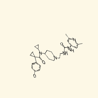 Cc1cc(NC(=O)NCCN2CCC(N(C(=O)C3(c4ccc(Cl)cc4)CC3)C3CC3)CC2)cc(C)n1